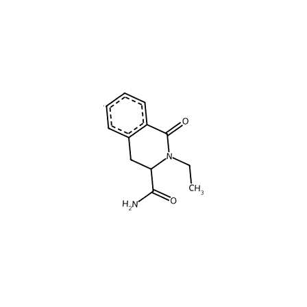 CCN1C(=O)c2cc[c]cc2CC1C(N)=O